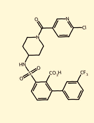 O=C(O)c1c(-c2cccc(C(F)(F)F)c2)cccc1S(=O)(=O)NC1CCN(C(=O)c2ccc(Cl)nc2)CC1